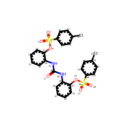 CCc1ccc(S(=O)(=O)Oc2ccccc2NC(=O)Nc2ccccc2OS(=O)(=O)c2ccc(CC)cc2)cc1